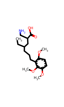 CCC(CCCc1c(OC)ccc(OC)c1OC)CC(CN)C(=O)O